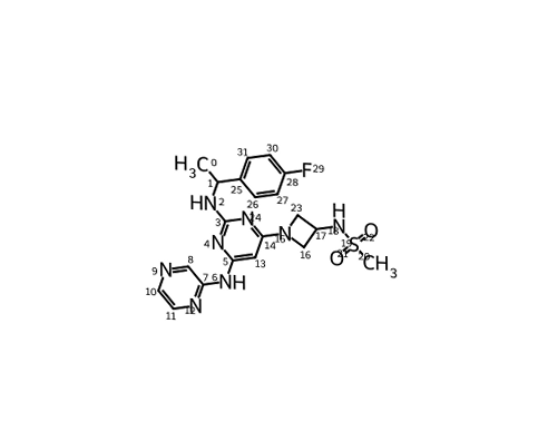 CC(Nc1nc(Nc2cnccn2)cc(N2CC(NS(C)(=O)=O)C2)n1)c1ccc(F)cc1